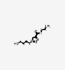 C=CCOC(=O)c1cn(CCCCO)nn1